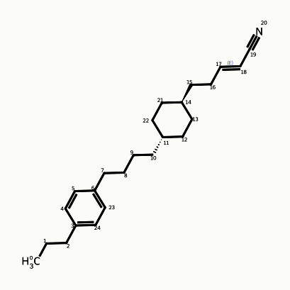 CCCc1ccc(CCCC[C@H]2CC[C@H](CC/C=C/C#N)CC2)cc1